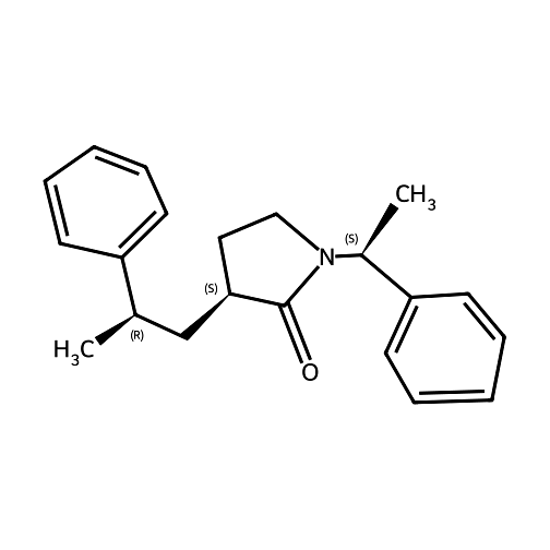 C[C@H](C[C@H]1CCN([C@@H](C)c2ccccc2)C1=O)c1ccccc1